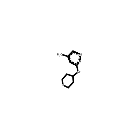 Cc1cnnc(NC2CCOCC2)c1